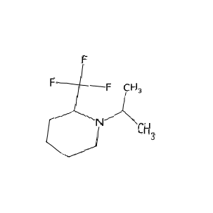 CC(C)N1CCCCC1C(F)(F)F